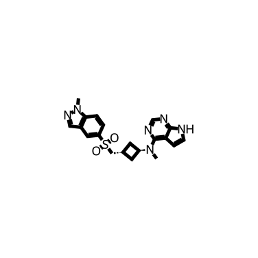 Cn1ncc2cc(S(=O)(=O)C[C@H]3C[C@@H](N(C)c4ncnc5[nH]ccc45)C3)ccc21